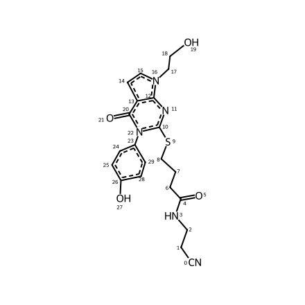 N#CCCNC(=O)CCCSc1nc2c(ccn2CCO)c(=O)n1-c1ccc(O)cc1